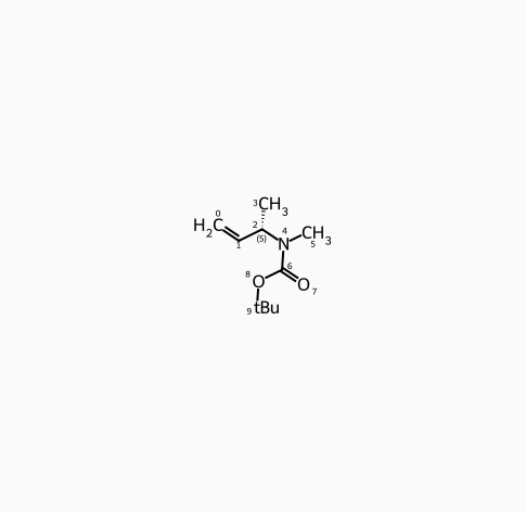 C=C[C@H](C)N(C)C(=O)OC(C)(C)C